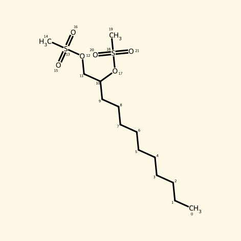 CCCCCCCCCCC(COS(C)(=O)=O)OS(C)(=O)=O